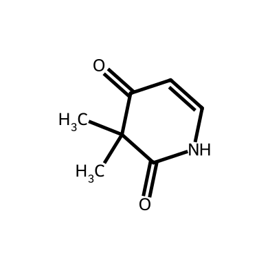 CC1(C)C(=O)C=CNC1=O